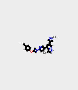 C#Cc1ccc(OC2CN(c3ccc(-c4cc(-c5cnn(C)c5)cn5ncc(C#N)c45)cn3)C2)cc1